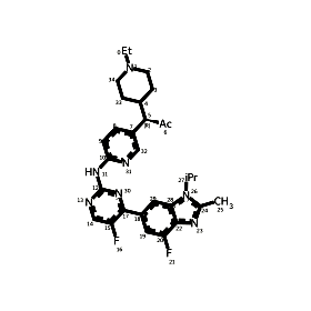 CCN1CCC([C@@H](C(C)=O)c2ccc(Nc3ncc(F)c(-c4cc(F)c5nc(C)n(C(C)C)c5c4)n3)nc2)CC1